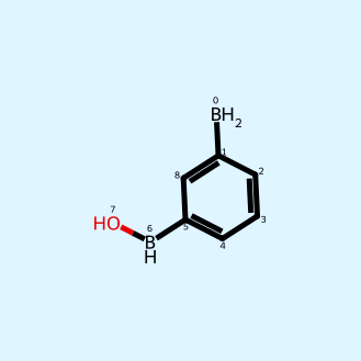 Bc1cccc(BO)c1